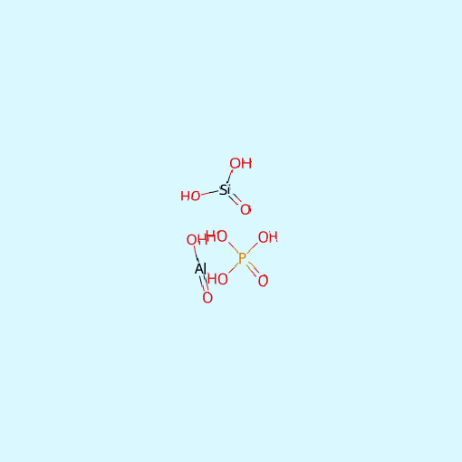 O=P(O)(O)O.O=[Si](O)O.[O]=[Al][OH]